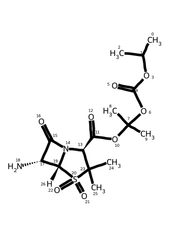 CC(C)OC(=O)OC(C)(C)OC(=O)[C@@H]1N2C(=O)[C@@H](N)[C@H]2S(=O)(=O)C1(C)C